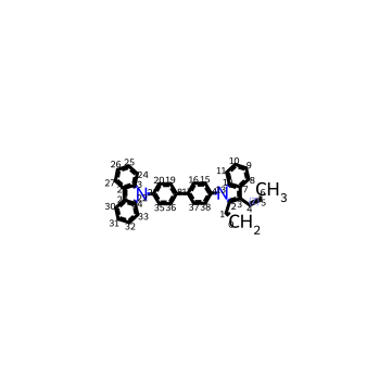 C=Cc1c(/C=C\C)c2ccccc2n1-c1ccc(-c2ccc(-n3c4ccccc4c4ccccc43)cc2)cc1